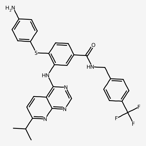 CC(C)c1ccc2c(Nc3cc(C(=O)NCc4ccc(C(F)(F)F)cc4)ccc3Sc3ccc(N)cc3)ncnc2n1